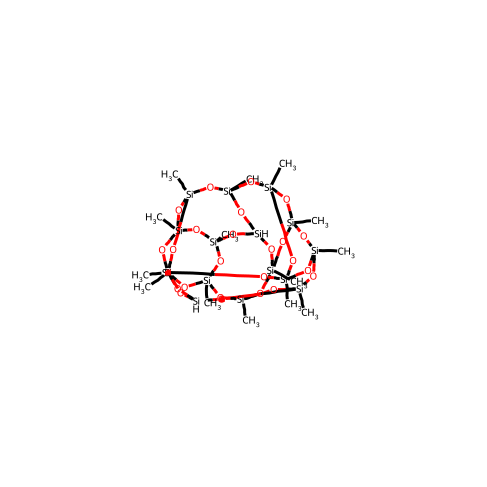 C[Si]12O[SiH]3O[Si]4(C)O[Si]5(C)O[Si]6(C)O[SiH]7O[Si](C)(O[Si](C)(O1)O5)O[Si](C)(O2)O[Si]1(C)O[Si](C)(O3)O[Si]2(C)O[Si](C)(O[Si](C)(O7)O1)O[Si](C)(O6)O[Si](C)(O4)O2